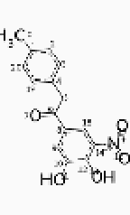 Cc1ccc(CC(=O)c2cc(O)c(O)c([N+](=O)[O-])c2)cc1